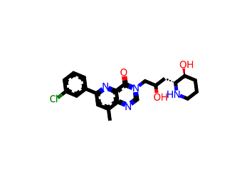 Cc1cc(-c2cccc(Cl)c2)nc2c(=O)n(CC(O)C[C@H]3NCCC[C@@H]3O)cnc12